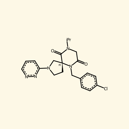 CC(C)N1CC(=O)N(Cc2ccc(Cl)cc2)[C@@]2(CCN(c3cccnn3)C2)C1=O